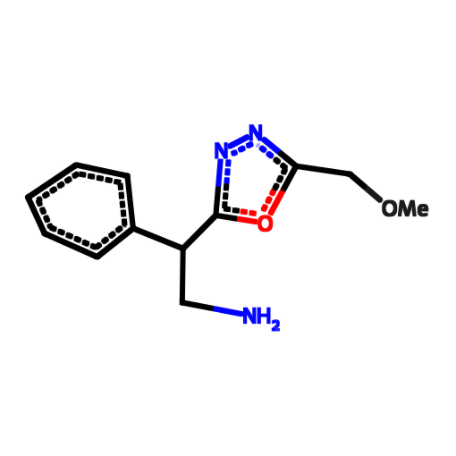 COCc1nnc(C(CN)c2ccccc2)o1